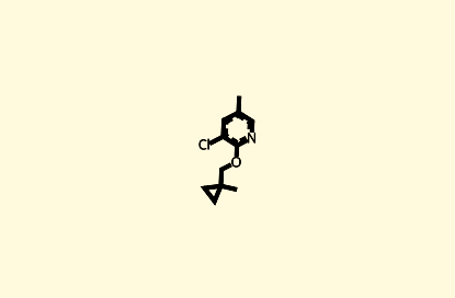 Cc1cnc(OCC2(C)CC2)c(Cl)c1